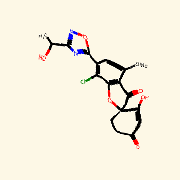 COc1cc(-c2nc(C(C)O)no2)c(Cl)c2c1C(=O)[C@@]1(CCC(=O)C=C1O)O2